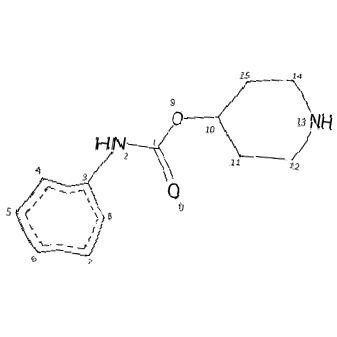 O=C(Nc1ccccc1)OC1CCNCC1